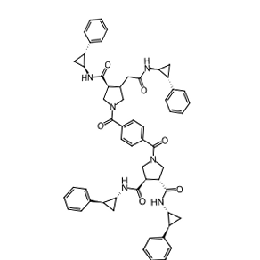 O=C(CC1CN(C(=O)c2ccc(C(=O)N3C[C@H](C(=O)N[C@@H]4C[C@H]4c4ccccc4)[C@@H](C(=O)N[C@@H]4C[C@H]4c4ccccc4)C3)cc2)C[C@H]1C(=O)N[C@H]1C[C@@H]1c1ccccc1)N[C@H]1C[C@@H]1c1ccccc1